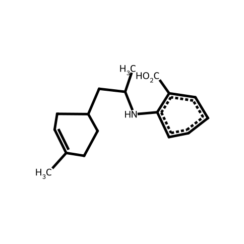 CC1=CCC(CC(C)Nc2ccccc2C(=O)O)CC1